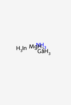 N.[GaH3].[InH3].[MgH2]